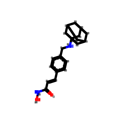 O=C(C=Cc1ccc(CNC23CC4CC(CC(C4)C2)C3)cc1)NO